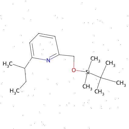 CCC(C)c1cccc(CO[Si](C)(C)C(C)(C)C)n1